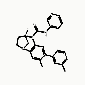 Cc1cc(-c2nc3c(cc2C)N2CC[C@@H](C2)N3C(=O)Nc2cccnc2)ccn1